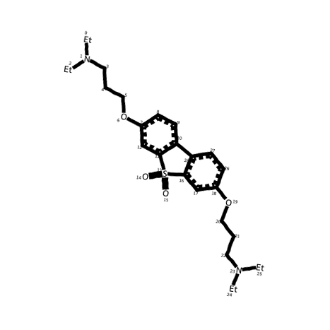 CCN(CC)CCCOc1ccc2c(c1)S(=O)(=O)c1cc(OCCCN(CC)CC)ccc1-2